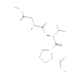 COC(=O)C[C@H](N)C(=O)N[C@H](C(=O)N1CCC[C@H]1C(=O)OC)C(C)C